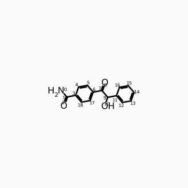 NC(=O)c1ccc(C(=O)C(O)c2ccccc2)cc1